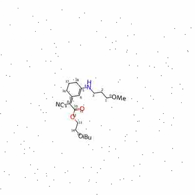 COCCCNC1=C/C(=C(/C#N)C(=O)OCCOCC(C)C)CCC1